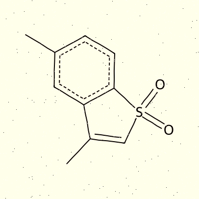 CC1=CS(=O)(=O)c2ccc(C)cc21